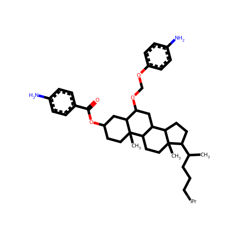 CC(C)CCCC(C)C1CCC2C3CC(OCOc4ccc(N)cc4)C4CC(OC(=O)c5ccc(N)cc5)CCC4(C)C3CCC12C